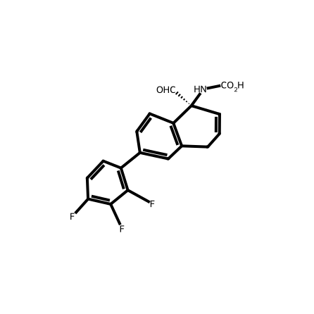 O=C[C@]1(NC(=O)O)C=CCc2cc(-c3ccc(F)c(F)c3F)ccc21